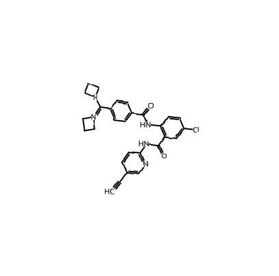 C#Cc1ccc(NC(=O)c2cc(Cl)ccc2NC(=O)c2ccc(C(N3CCC3)=[N+]3CCC3)cc2)nc1